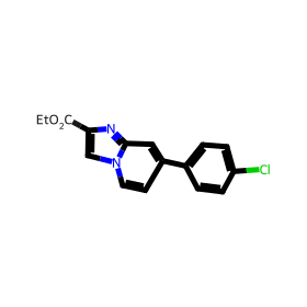 CCOC(=O)c1cn2ccc(-c3ccc(Cl)cc3)cc2n1